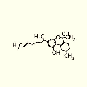 CC=CCCCC(C)c1cc(O)c2c(c1)OC(C)(C)C1=C2CC(C)CC1